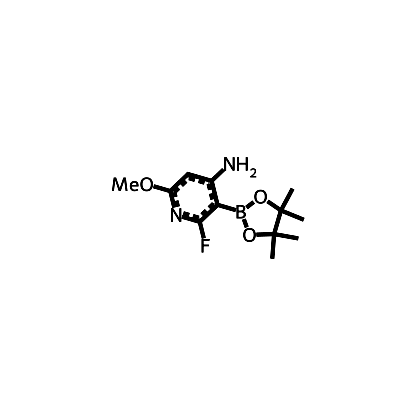 COc1cc(N)c(B2OC(C)(C)C(C)(C)O2)c(F)n1